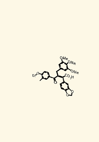 CCOc1ccc(C(=O)C(Cc2cc(OC)c(OC)c(OC)c2)=C(C(=O)O)c2ccc3c(c2)OCO3)cc1C